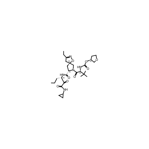 CCC[C@H](NC(=O)[C@@H]1C[C@]2(CC(CC)=NO2)CN1C(=O)[C@@H](NC(=O)O[C@H]1CCOC1)C(C)(C)C)C(=O)C(=O)NC1CC1